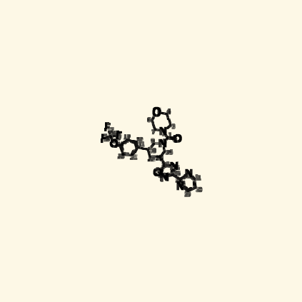 O=C(N1CCOCC1)N1CC(c2ccc(OC(F)(F)F)cc2)CC(c2nc(-c3ncccn3)no2)C1